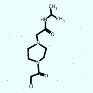 CC(C)NC(=O)CN1CCN(C(=O)CCl)CC1